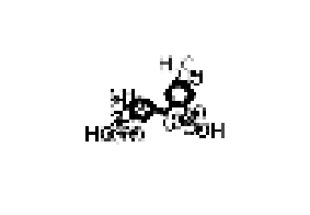 COc1ccc(C(=O)c2ccc(OC)c(S(=O)(=O)OO)c2)c(S(=O)(=O)OO)c1